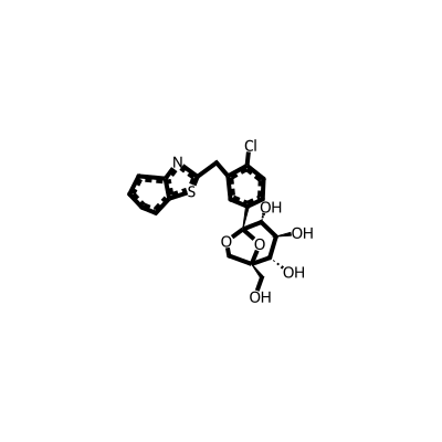 OC[C@@]12CO[C@@](c3ccc(Cl)c(Cc4nc5ccccc5s4)c3)(O1)[C@H](O)[C@@H](O)[C@@H]2O